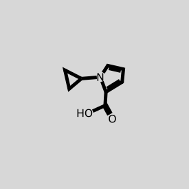 O=C(O)c1cccn1C1CC1